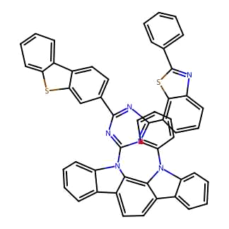 c1ccc(-c2nc3cccc(-c4nc(-c5ccc6c(c5)sc5ccccc56)nc(-n5c6ccccc6c6ccc7c8ccccc8n(-c8ccccc8)c7c65)n4)c3s2)cc1